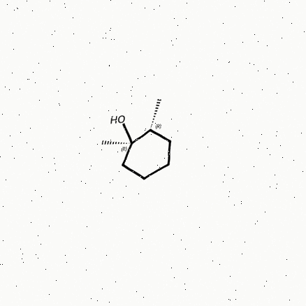 C[C@@H]1CCCC[C@@]1(C)O